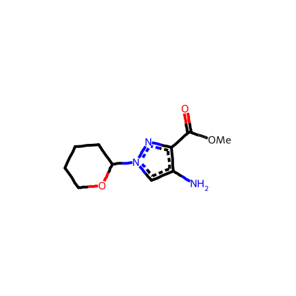 COC(=O)c1nn(C2CCCCO2)cc1N